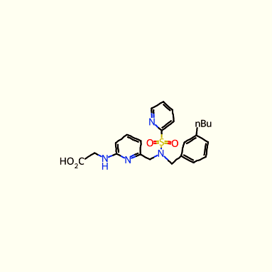 CCCCc1cccc(CN(Cc2cccc(NCC(=O)O)n2)S(=O)(=O)c2ccccn2)c1